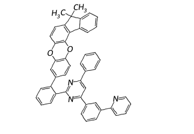 CC1(C)c2ccccc2-c2c1ccc1c2Oc2ccc(-c3ccccc3-c3nc(-c4ccccc4)cc(-c4cccc(-c5ccccn5)c4)n3)cc2O1